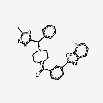 Cc1nnc(C(c2ccccc2)N2CCN(C(=O)c3cccc(-c4nc5cccnc5o4)c3)CC2)o1